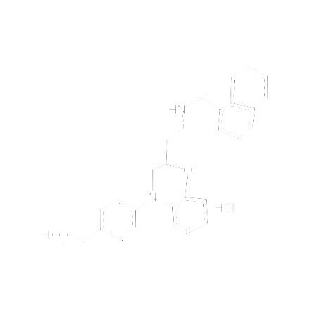 C[C@@H](NCCC1CN(c2ccc(CC(=O)O)cc2)c2ccccc2O1)c1cccc2ccccc12.Cl